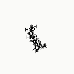 Cc1cc(-c2ncnc3c(C(=O)N[C@H]4CC[C@@H](NC(=O)O)CC4)c(C)[nH]c23)c(OCC2CC2)cc1F